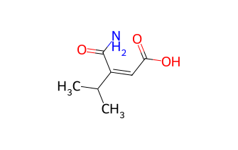 CC(C)C(=CC(=O)O)C(N)=O